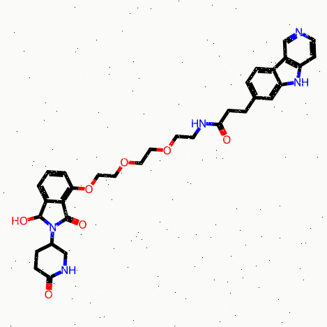 O=C(CCc1ccc2c(c1)[nH]c1ccncc12)NCCOCCOCCOc1cccc2c1C(=O)N(C1CCC(=O)NC1)C2O